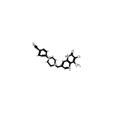 Cc1c(Cl)c(=O)[nH]c2cc(CN3CCN(c4ccc(C#N)cc4)CC3)cnc12